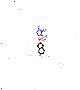 O=C1NCC[C@@H]1NS(=O)(=O)c1ccc2cc(Cl)ccc2c1